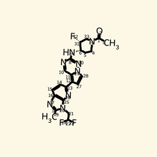 CC(=O)N1CC[C@H](Nc2ncc3c(-c4ccc5nc(C)n(CC(F)F)c5n4)ccn3n2)[C@H](F)C1